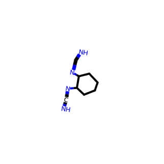 N=C=NC1CCCCC1N=C=N